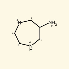 NC1C[N]CCNC1